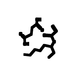 C=CC(=O)OC(CC)CCCCC.O=C(O)CCC(=O)O